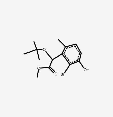 COC(=O)C(OC(C)(C)C)c1c(C)ccc(O)c1Br